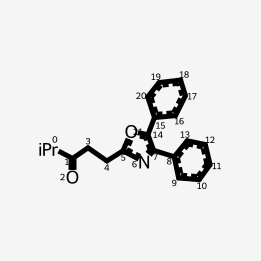 CC(C)C(=O)CCc1nc(-c2ccccc2)c(-c2ccccc2)o1